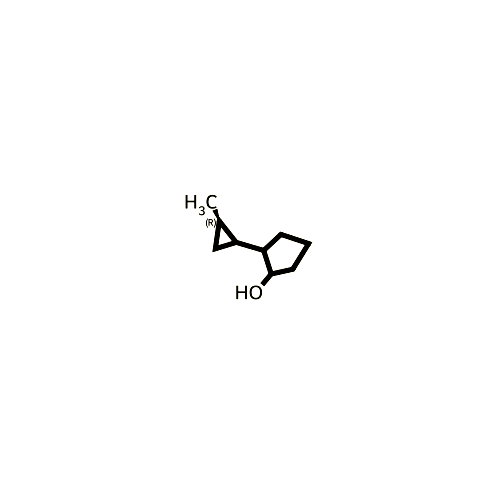 C[C@@H]1CC1C1CCCC1O